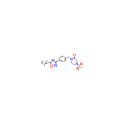 CS(=O)(=O)N1CCN(Cc2ccc(-c3noc(C(F)(F)F)n3)cc2)C(=O)C1